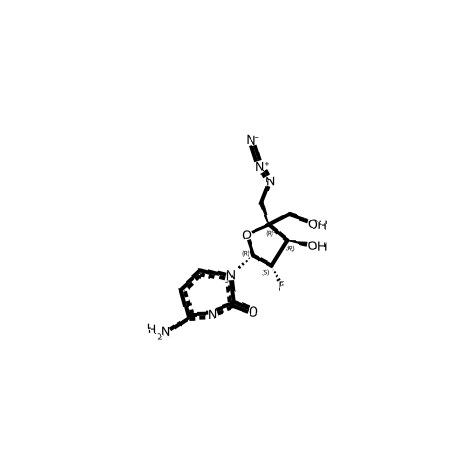 [N-]=[N+]=NC[C@]1(CO)O[C@@H](n2ccc(N)nc2=O)[C@@H](F)[C@@H]1O